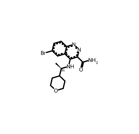 C[C@@H](Nc1c(C(N)=O)nnc2ccc(Br)cc12)C1CCOCC1